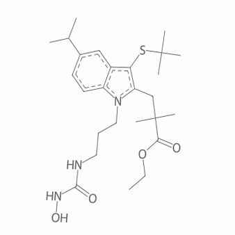 CCOC(=O)C(C)(C)Cc1c(SC(C)(C)C)c2cc(C(C)C)ccc2n1CCCNC(=O)NO